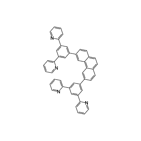 c1ccc(-c2cc(-c3ccc4ccc5ccc(-c6cc(-c7ccccn7)cc(-c7ccccn7)c6)cc5c4c3)cc(-c3ccccn3)c2)nc1